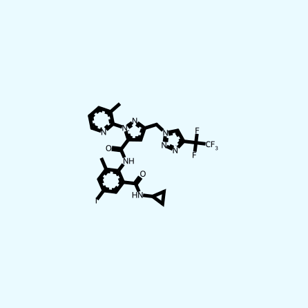 Cc1cccnc1-n1nc(Cn2cc(C(F)(F)C(F)(F)F)nn2)cc1C(=O)Nc1c(C)cc(I)cc1C(=O)NC1CC1